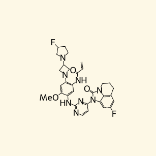 C=CC(=O)Nc1cc(Nc2nccc(-n3c(=O)n4c5c(cc(F)cc53)CCC4)n2)c(OC)cc1N1CC(N2CCC(F)C2)C1